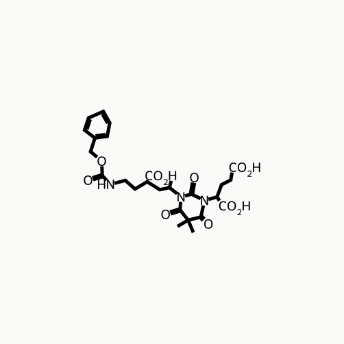 CC1(C)C(=O)N(C(CCCCNC(=O)OCc2ccccc2)C(=O)O)C(=O)N(C(CCC(=O)O)C(=O)O)C1=O